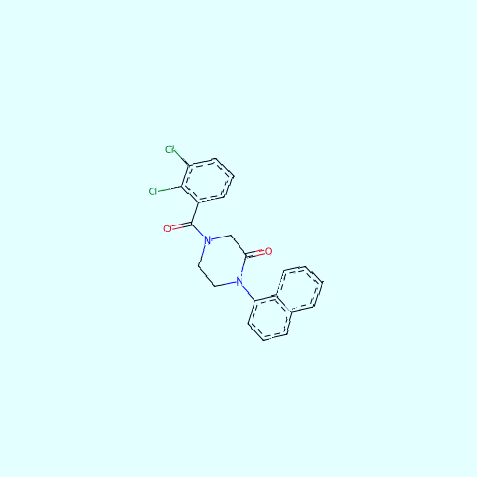 O=C(c1cccc(Cl)c1Cl)N1CCN(c2cccc3ccccc23)C(=O)C1